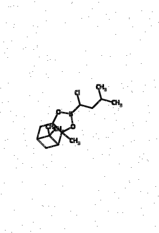 CC(C)CC(Cl)B1OC2CC3CC(C3(C)C)C2(C)O1